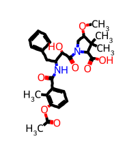 COC1CN(C(=O)C(O)C(Cc2ccccc2)NC(=O)c2cccc(OC(C)=O)c2C)C(C(=O)O)C1(C)C